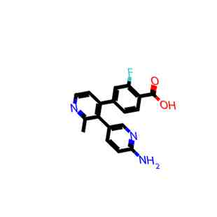 Cc1nccc(-c2ccc(C(=O)O)c(F)c2)c1-c1ccc(N)nc1